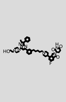 Cc1nn2c(N3CCN(CCO)CC3)cc(-c3cccc(CCCCCN4CCC(c5cc(F)cc6c5CN(C5CCC(=O)NC5=O)C6=O)CC4)c3)nc2c1-c1ccccc1